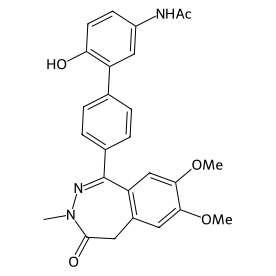 COc1cc2c(cc1OC)C(c1ccc(-c3cc(NC(C)=O)ccc3O)cc1)=NN(C)C(=O)C2